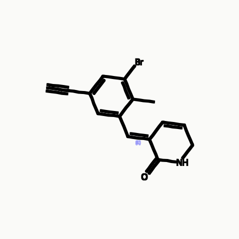 C#Cc1cc(Br)c(C)c(/C=C2\C=CCNC2=O)c1